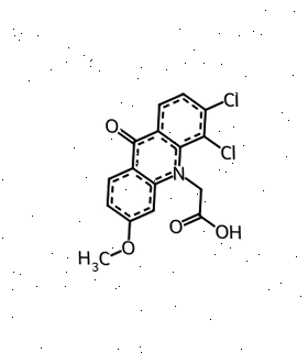 COc1ccc2c(=O)c3ccc(Cl)c(Cl)c3n(CC(=O)O)c2c1